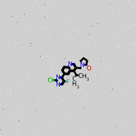 CC(C)c1c(CN2CCCC2=O)cnc2ccc(-c3nc(Cl)ncc3F)cc12